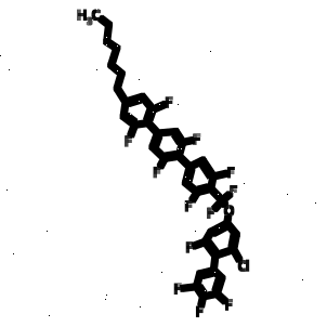 CCCCCCCc1cc(F)c(-c2cc(F)c(-c3cc(F)c(C(F)(F)Oc4cc(F)c(-c5cc(F)c(F)c(F)c5)c(Cl)c4)c(F)c3)c(F)c2)c(F)c1